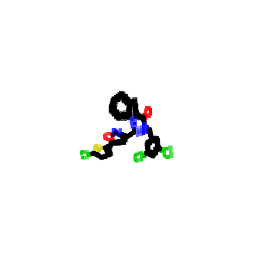 O=C(NCc1cc(Cl)cc(Cl)c1)c1cc2ccccc2n1Cc1cc(C2=CCC(Cl)S2)on1